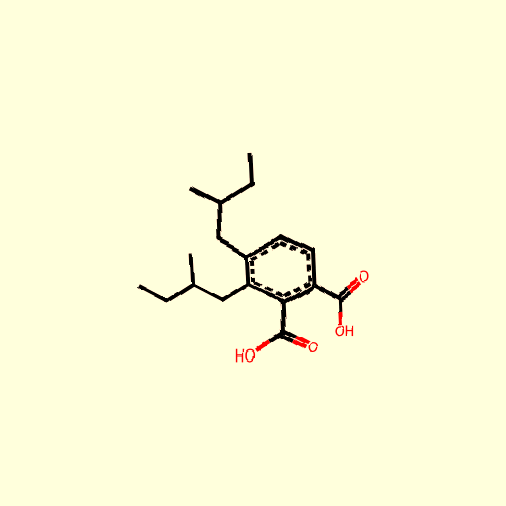 CCC(C)Cc1ccc(C(=O)O)c(C(=O)O)c1CC(C)CC